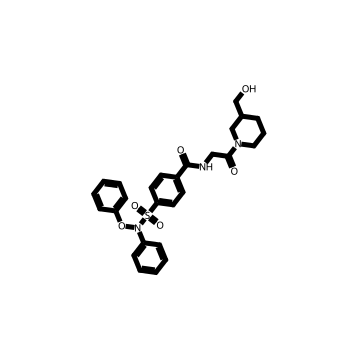 O=C(NCC(=O)N1CCCC(CO)C1)c1ccc(S(=O)(=O)N(Oc2ccccc2)c2ccccc2)cc1